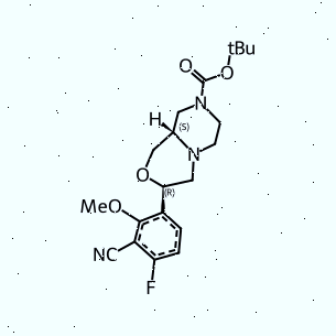 COc1c([C@@H]2CN3CCN(C(=O)OC(C)(C)C)C[C@H]3CO2)ccc(F)c1C#N